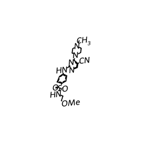 COCCNS(=O)(=O)c1ccc(Nc2ncc(C#N)c(N3CCN(C)CC3)n2)cc1